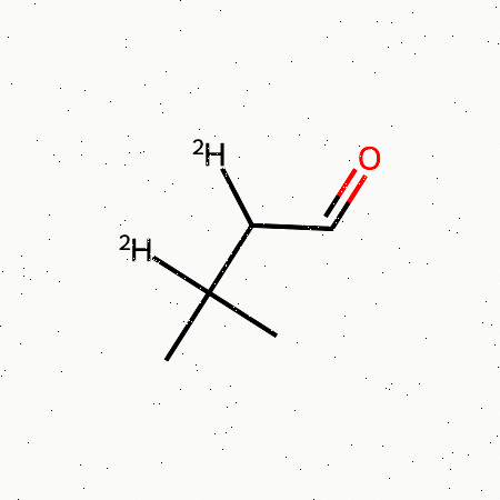 [2H]C(C=O)C([2H])(C)C